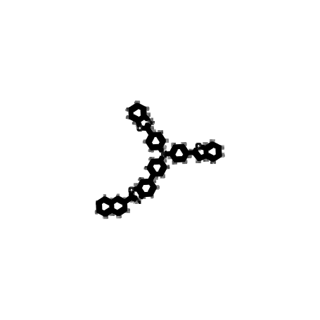 c1ccc2cc(-c3nc4ccc(-c5ccc(N(c6ccc(-c7cc8ccccc8o7)cc6)c6ccc(-c7nc8ccccc8o7)cc6)cc5)cc4o3)ccc2c1